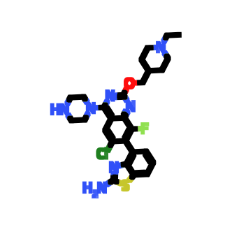 CCN1CCC(COc2nc(N3CCNCC3)c3cc(Cl)c(-c4cccc5sc(N)nc45)c(F)c3n2)CC1